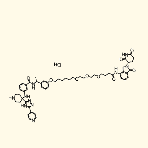 C[C@H](NC(=O)c1cccc(NC2(c3nnc(-c4ccncc4)[nH]3)CCN(C)CC2)c1)c1cccc(OCCCCCCOCCOCCOCCCC(=O)Nc2cccc3c2CN(C2CCC(=O)NC2=O)C3=O)c1.Cl